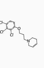 Clc1ccc(OCCCN2CC=CCC2)c(Cl)c1Cl